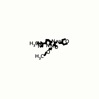 CCCOCCn1c(=O)c(NCC2CCOCC2)nc2ccc(-c3cnn(C)c3)nc21